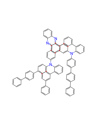 c1ccc(-c2ccc(-c3ccc(N(c4ccc(-c5nc6ccccc6nc5-c5ccc(N(c6ccc(-c7ccc(-c8ccccc8)cc7)cc6)c6ccccc6-c6cccc(-c7ccccc7)c6)cc5)cc4)c4ccccc4-c4cccc(-c5ccccc5)c4)cc3)cc2)cc1